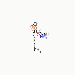 C=CC(N)=O.CCCCCCCCCCCCCOS(=O)(=O)c1ccccc1.[NaH]